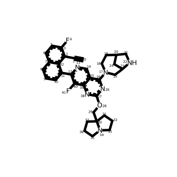 C#Cc1c(F)ccc2cccc(-c3ncc4c(N5CCC6CNC(C6)C5)nc(OCC56CCCN5CCC6)nc4c3F)c12